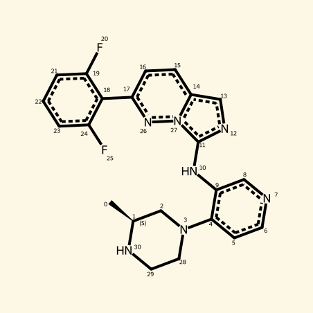 C[C@H]1CN(c2ccncc2Nc2ncc3ccc(-c4c(F)cccc4F)nn23)CCN1